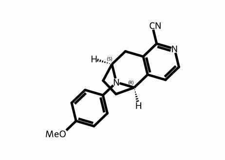 COc1ccc(N2[C@H]3CC[C@@H]2c2ccnc(C#N)c2C3)cc1